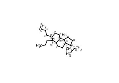 CCC[C@]1(F)C2CC[C@@]3(C)C(CC[C@@H]3C(C)O)[C@@H]2CC[C@@H]1CCOC